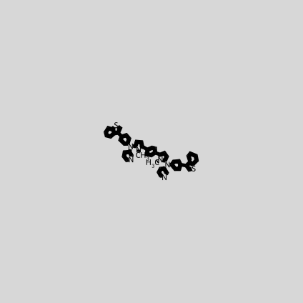 Cn1c(-c2ccc(-c3ccc(N(c4ccc(-c5csc6ccccc56)cc4)c4cccnc4)n3C)cc2)ccc1N(c1ccc(-c2csc3ccccc23)cc1)c1cccnc1